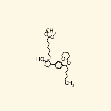 CCCCCC(OC1CCCCO1)c1ccc(C2CC[C@H](O)[C@@H]2CCCCCCC(=O)OC)cc1